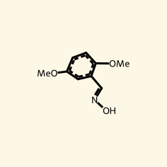 COc1ccc(OC)c(/C=N/O)c1